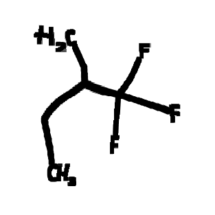 [CH2]C(CC)C(F)(F)F